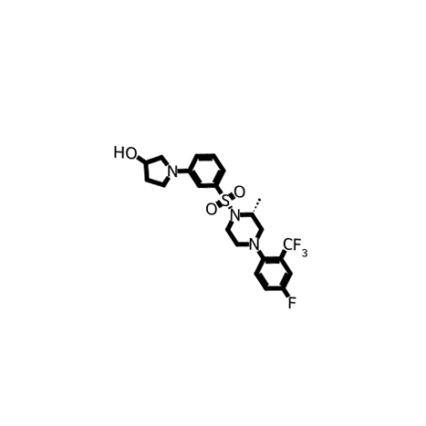 C[C@@H]1CN(c2ccc(F)cc2C(F)(F)F)CCN1S(=O)(=O)c1cccc(N2CCC(O)C2)c1